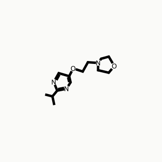 CC(C)c1ncc(OCCN2CCOCC2)cn1